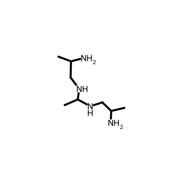 CC(N)CNC(C)NCC(C)N